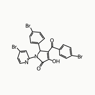 O=C(C1=C(O)C(=O)N(c2cc(Br)ccn2)C1c1ccc(Br)cc1)c1ccc(Br)cc1